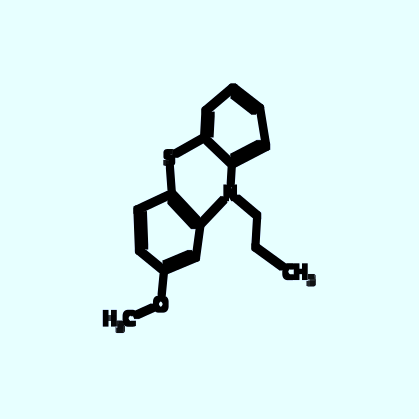 CCCN1c2ccccc2Sc2ccc(OC)cc21